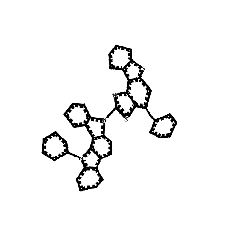 c1ccc(-c2cc3sc4ccccc4c3c3nc(-n4c5ccccc5c5c4ccc4c6ccccc6n(-c6ccccc6)c45)sc23)cc1